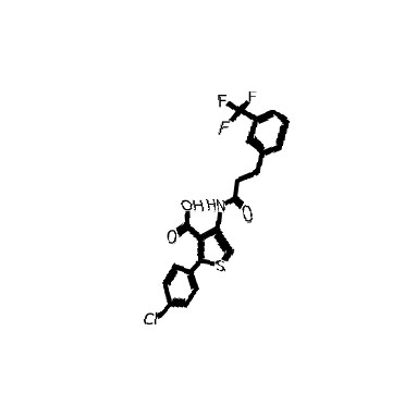 O=C(CCc1cccc(C(F)(F)F)c1)Nc1csc(-c2ccc(Cl)cc2)c1C(=O)O